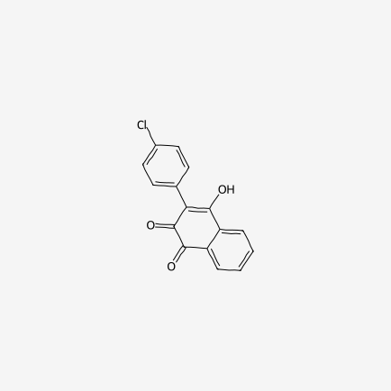 O=C1C(=O)c2ccccc2C(O)=C1c1ccc(Cl)cc1